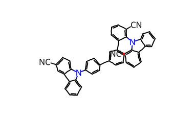 N#Cc1ccc2c(c1)c1ccccc1n2-c1ccc(-c2cccc(-c3cccc(C#N)c3-n3c4ccccc4c4cccc(C#N)c43)c2)cc1